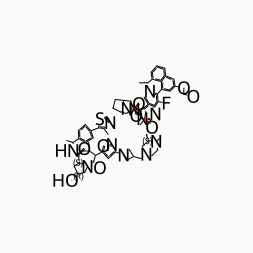 CCc1cccc2cc(OCOC)cc(-c3ncc4c(N5CC6CCC(C5)N6C(=O)OC(C)(C)C)nc(OC[C@@H]5CN(CC6CN(c7cc(C(C(=O)N8C[C@H](O)C[C@H]8C(=O)NC(C)c8ccc(-c9scnc9C)cc8)C(C)C)on7)C6)CCN5C)nc4c3F)c12